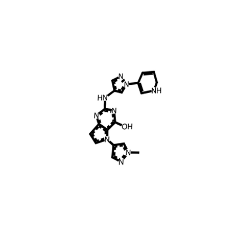 Cn1cc(-n2ccc3nc(Nc4cnn(C5=CNCC=C5)c4)nc(O)c32)cn1